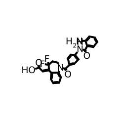 Nc1ccccc1C(=O)Nc1ccc(C(=O)N2CCC(F)(F)/C(=C\C(=O)O)c3ccccc32)cc1